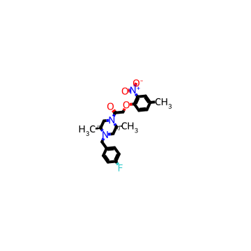 Cc1ccc(OCC(=O)N2C[C@H](C)N(Cc3ccc(F)cc3)C[C@H]2C)c([N+](=O)[O-])c1